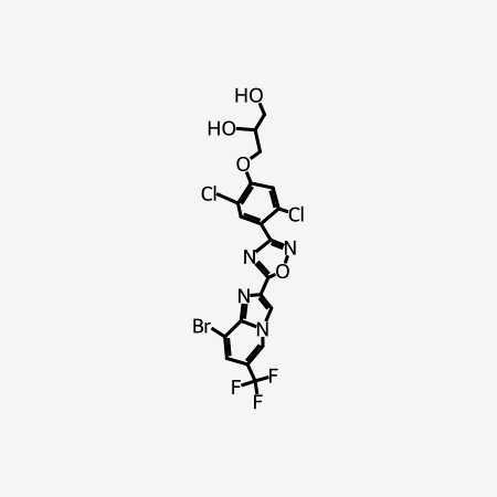 OCC(O)COc1cc(Cl)c(-c2noc(-c3cn4cc(C(F)(F)F)cc(Br)c4n3)n2)cc1Cl